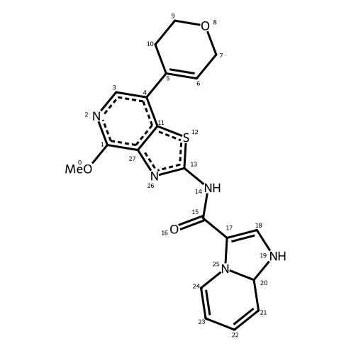 COc1ncc(C2=CCOCC2)c2sc(NC(=O)C3=CNC4C=CC=CN34)nc12